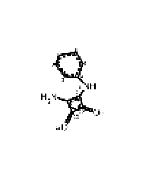 Nc1c(Nc2ccccc2)c(=O)c1=O